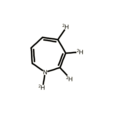 [2H]C1=CC=CN([2H])C([2H])=C1[2H]